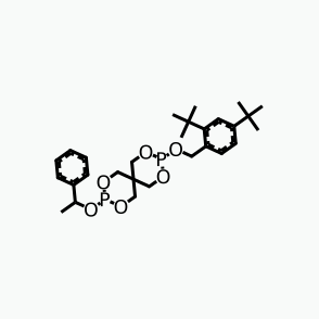 CC(OP1OCC2(COP(OCc3ccc(C(C)(C)C)cc3C(C)(C)C)OC2)CO1)c1ccccc1